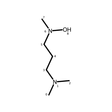 CN(C)CCCN(C)O